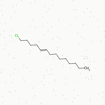 CCCCCCCCC=CCCCCCl